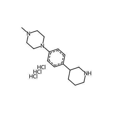 CN1CCN(c2ccc(C3CCCNC3)cc2)CC1.Cl.Cl.Cl